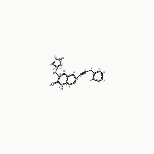 O=c1[nH]c2ccc(C#CCc3ccccc3)cc2cc1Cn1cnnn1